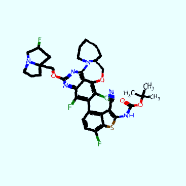 CC(C)(C)OC(=O)Nc1sc2c(F)ccc(-c3c(Cl)c4c5c(nc(OCC67CCCN6CC(F)C7)nc5c3F)N3CCCCCC3CO4)c2c1C#N